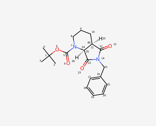 CC(C)(C)OC(=O)N1CCC[C@H]2C(=O)N(Cc3ccccc3)C(=O)[C@H]21